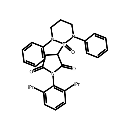 CC(C)c1cccc(C(C)C)c1N1C(=O)CC(P2(=O)N(c3ccccc3)CCCN2c2ccccc2)C1=O